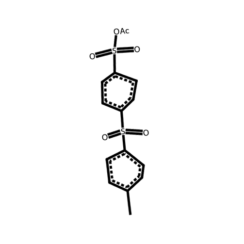 CC(=O)OS(=O)(=O)c1ccc(S(=O)(=O)c2ccc(C)cc2)cc1